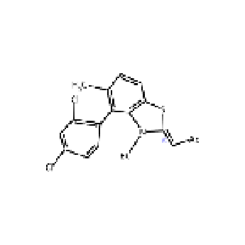 CCN1/C(=C/C(C)=O)Sc2ccc(C)c(-c3ccc(Cl)cc3Cl)c21